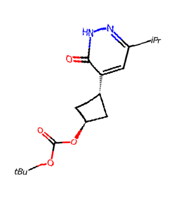 CC(C)c1cc([C@H]2C[C@H](OC(=O)OC(C)(C)C)C2)c(=O)[nH]n1